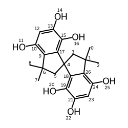 CC1(C)CC2(CC(C)(C)c3c(O)cc(O)c(O)c32)c2c(O)c(O)cc(O)c21